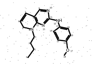 CCCCN1CC=Cc2cnc(Nc3ccc(OC)cc3)nc21